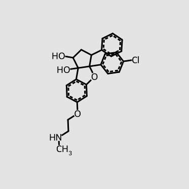 CNCCOc1ccc2c(c1)OC1(c3ccc(Cl)cc3)C(c3ccccc3)CC(O)C21O